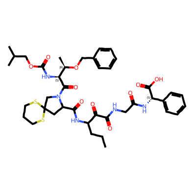 CCCC(NC(=O)C1CC2(CN1C(=O)[C@@H](NC(=O)OCC(C)C)[C@@H](C)OCc1ccccc1)SCCCS2)C(=O)C(=O)NCC(=O)N[C@H](C(=O)O)c1ccccc1